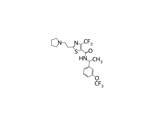 CC(NC(=O)c1sc(CCN2CCCC2)nc1C(F)(F)F)c1cccc(OC(F)(F)F)c1